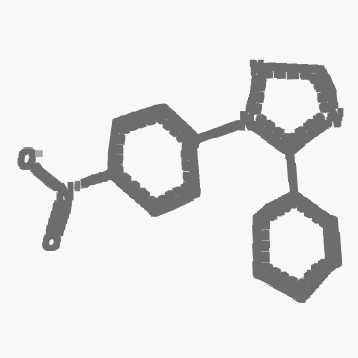 O=[N+]([O-])c1ccc(-n2ncnc2-c2ccccc2)cc1